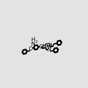 Nc1cc(OCC(O)CN(Cc2ccccc2)[C@@H](O)CCc2ccccc2)ccc1OCc1ccccc1